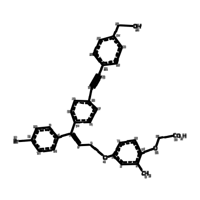 Cc1cc(OC/C=C(/c2ccc(Br)cc2)c2ccc(C#Cc3ccc(CO)cc3)cc2)ccc1OCC(=O)O